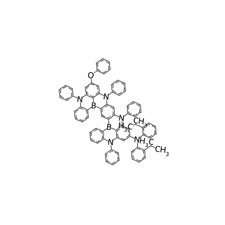 CC(C)c1ccccc1N(c1cc2c3c(c1)N(c1ccccc1)c1cc4c(cc1B3c1ccccc1N2c1ccccc1)B1c2ccccc2N(c2ccccc2)c2cc(Oc3ccccc3)cc(c21)N4c1ccccc1)c1ccccc1C(C)C